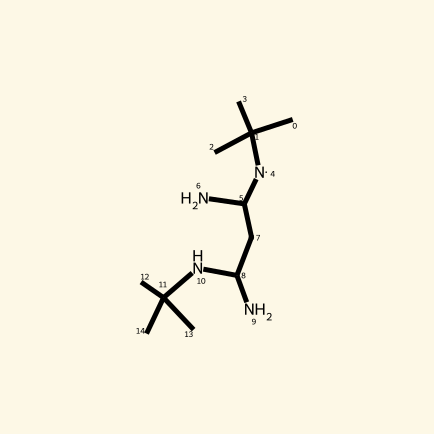 CC(C)(C)[N]C(N)CC(N)NC(C)(C)C